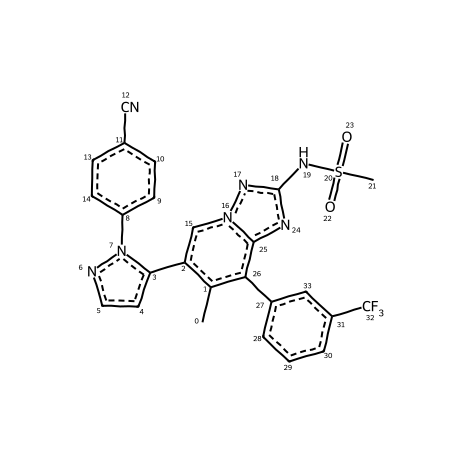 Cc1c(-c2ccnn2-c2ccc(C#N)cc2)cn2nc(NS(C)(=O)=O)nc2c1-c1cccc(C(F)(F)F)c1